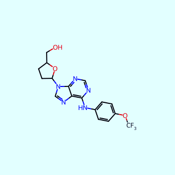 OCC1CCC(n2cnc3c(Nc4ccc(OC(F)(F)F)cc4)ncnc32)O1